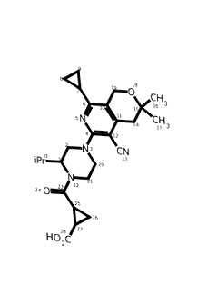 CC(C)C1CN(c2nc(C3CC3)c3c(c2C#N)CC(C)(C)OC3)CCN1C(=O)C1CC1C(=O)O